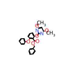 COc1cc(OC)nc(Oc2cccc(Oc3ccccc3)c2C(=O)OCc2ccccc2)n1